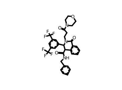 O=C(NCc1ccccc1)C1c2ccccc2C(=O)N(CCC(=O)N2CCOCC2)C1c1cc(C(F)(F)F)cc(C(F)(F)F)c1